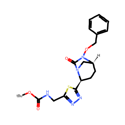 CC(C)(C)OC(=O)NCc1nnc([C@@H]2CC[C@H]3CN2C(=O)N3OCc2ccccc2)s1